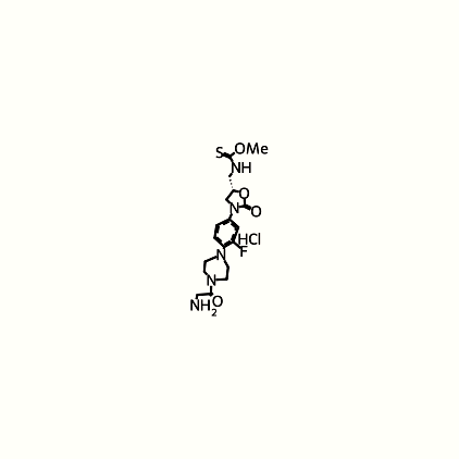 COC(=S)NC[C@H]1CN(c2ccc(N3CCN(C(=O)CN)CC3)c(F)c2)C(=O)O1.Cl